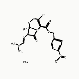 CN(C)/C=N/[C@@H]1C(=O)N2C(C(=O)OCc3ccc([N+](=O)[O-])cc3)=C(Cl)CS[C@H]12.Cl